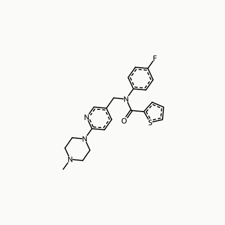 CN1CCN(c2ccc(CN(C(=O)c3cccs3)c3ccc(F)cc3)cn2)CC1